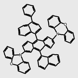 c1ccc(-c2ccc(-c3c4ccc(N5c6ccccc6Oc6ccccc65)cc4c(-c4cccc5ccccc45)c4ccc(N5c6ccccc6Oc6ccccc65)cc34)c3ccccc23)cc1